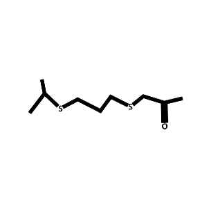 CC(=O)CSCCCSC(C)C